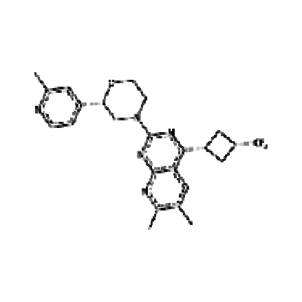 Cc1cc([C@H]2CN(c3nc4nc(C)c(C)cc4c([C@H]4C[C@@H](C(F)(F)F)C4)n3)CCO2)ccn1